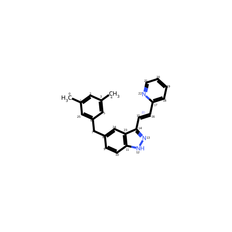 Cc1cc(C)cc(Cc2ccc3[nH]nc(/C=C/c4ccccn4)c3c2)c1